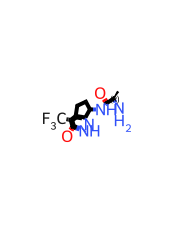 C[C@@H](N)C(=O)NC1CCc2c1n[nH]c(=O)c2C(F)(F)F